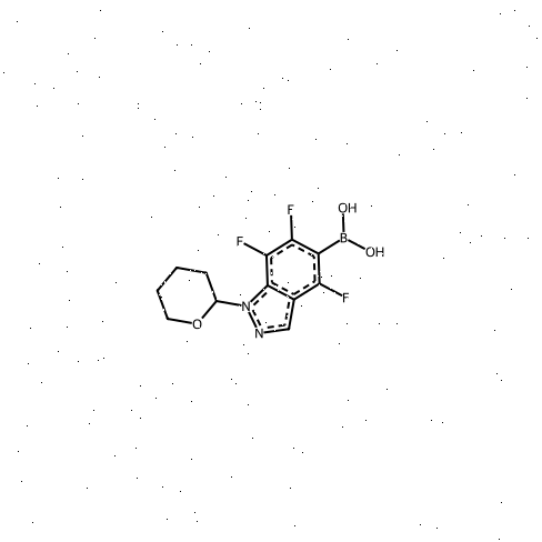 OB(O)c1c(F)c(F)c2c(cnn2C2CCCCO2)c1F